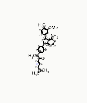 COc1cc(-c2nn(-c3ccc(N(C)C(=O)/C=C/CN(C)C)cn3)c3ncnc(N)c23)ccc1C